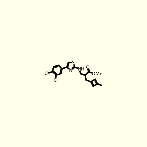 COC(=O)C(CNc1nc(-c2ccc(Cl)c(Cl)c2)cs1)CC1=CC(C)=C1